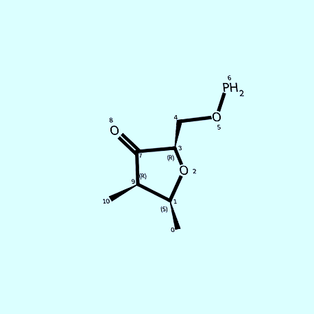 C[C@@H]1O[C@H](COP)C(=O)[C@@H]1C